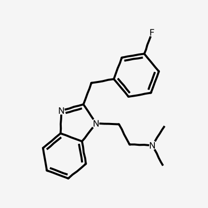 CN(C)CCn1c(Cc2cccc(F)c2)nc2ccccc21